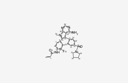 C=CC(=O)Nc1ccc(-c2c(-c3ccc(C(=O)N4CCCC4)cc3)c3c(N)ncnc3n2C)cc1F